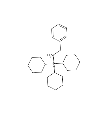 c1ccc(C[SiH2][PH](C2CCCCC2)(C2CCCCC2)C2CCCCC2)cc1